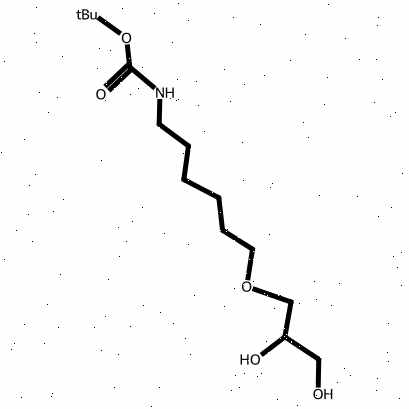 CC(C)(C)OC(=O)NCCCCCCOCC(O)CO